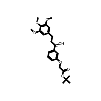 COc1cc(CC[C@@H](O)c2cccc(OCC(=O)OC(C)(C)C)c2)cc(OC)c1OC